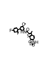 COc1cc(NC(=O)c2sc3cc(NS(C)(=O)=O)ccc3c2C)cc(-c2ccc(F)cc2F)c1